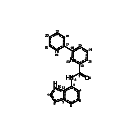 O=C(Nc1cccc2cc[nH]c12)c1cccc(-c2ccccn2)n1